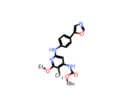 CCOc1nc(Nc2ccc(-c3cnco3)cc2)cc(NC(=O)OC(C)(C)C)c1C(F)(F)F